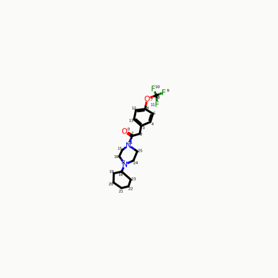 O=C(Cc1ccc(OC(F)(F)F)cc1)N1CCN(C2CCCCC2)CC1